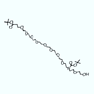 CC(C)(C)OC(=O)CCOCCOCCOCCOCCOCCOCCOCCOCCN(CCOCCO)C(=O)OC(C)(C)C